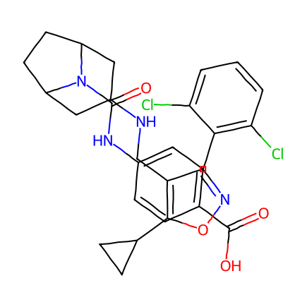 O=C(O)c1ccc(NC(=O)N2C3CCC2CC(NCc2c(-c4c(Cl)cccc4Cl)noc2C2CC2)C3)cc1